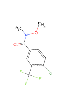 CON(C)C(=O)c1ccc(Cl)c(C(F)(F)F)c1